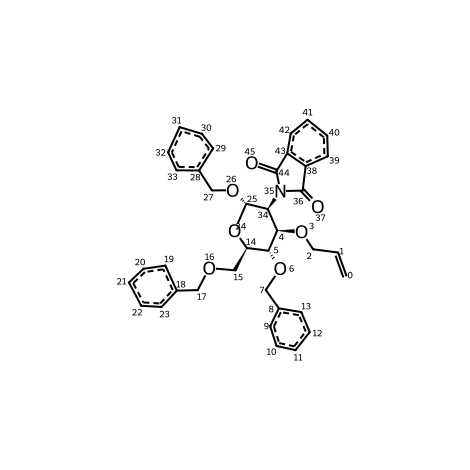 C=CCO[C@H]1[C@H](OCc2ccccc2)[C@@H](COCc2ccccc2)O[C@H](OCc2ccccc2)[C@H]1N1C(=O)c2ccccc2C1=O